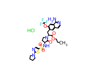 CCCOC(=O)C(Cc1cc2ccnc(N)c2cc1OC(F)(F)F)N1CCC(NS(=O)(=O)c2cnc(N3CCCC3)s2)C1=O.Cl